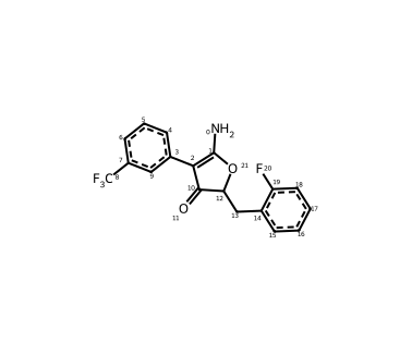 NC1=C(c2cccc(C(F)(F)F)c2)C(=O)C(Cc2ccccc2F)O1